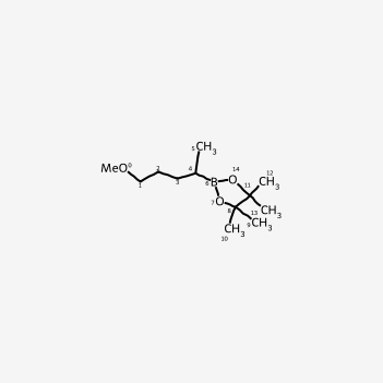 COCCCC(C)B1OC(C)(C)C(C)(C)O1